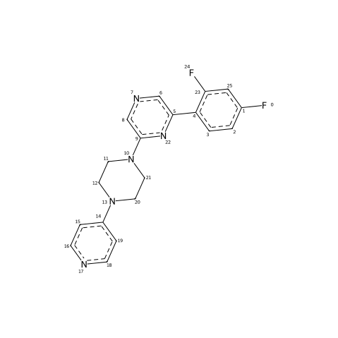 Fc1ccc(-c2cncc(N3CCN(c4ccncc4)CC3)n2)c(F)c1